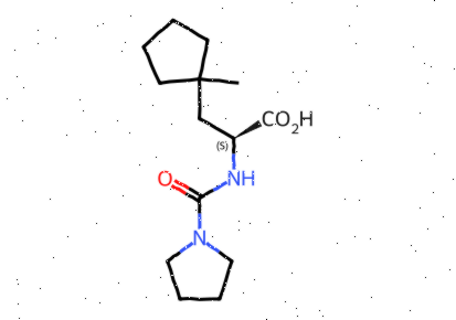 CC1(C[C@H](NC(=O)N2CCCC2)C(=O)O)CCCC1